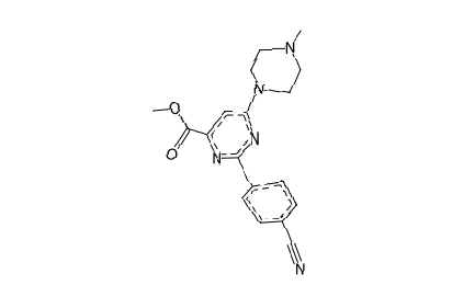 COC(=O)c1cc(N2CCN(C)CC2)nc(-c2ccc(C#N)cc2)n1